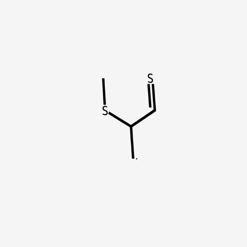 [CH2]C(C=S)SC